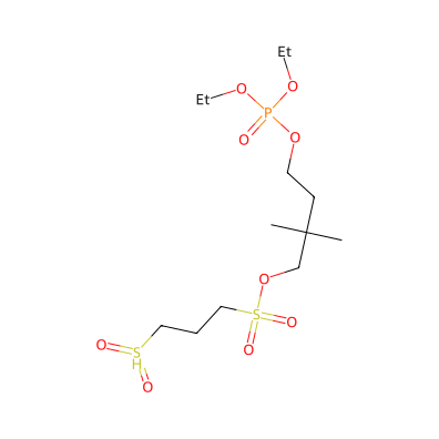 CCOP(=O)(OCC)OCCC(C)(C)COS(=O)(=O)CCC[SH](=O)=O